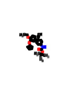 C#CC1(c2ccc(OCC)c(OC3CCCC3)c2)CCC(NC(=O)OC(C)(C)C)CC1